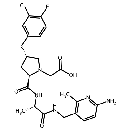 Cc1nc(N)ccc1CNC(=O)[C@H](C)NC(=O)[C@H]1C[C@H](Cc2ccc(F)c(Cl)c2)CN1CC(=O)O